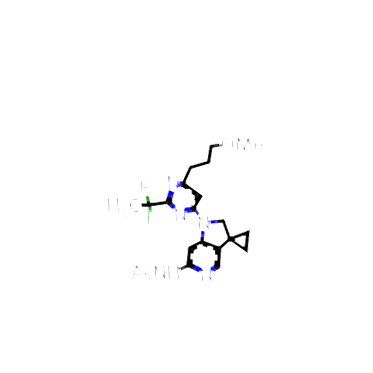 COCCCc1cc(N2CC3(CC3)c3cnc(NC(C)=O)cc32)nc(C(C)(F)F)n1